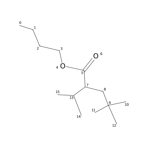 CCCCOC(=O)C(CC(C)(C)C)C(C)C